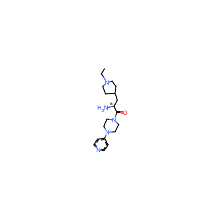 CCN1CCC(C[C@H](N)C(=O)N2CCN(c3ccncc3)CC2)CC1